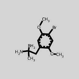 BC(C)(N)Cc1cc(OC)c(Br)cc1OC